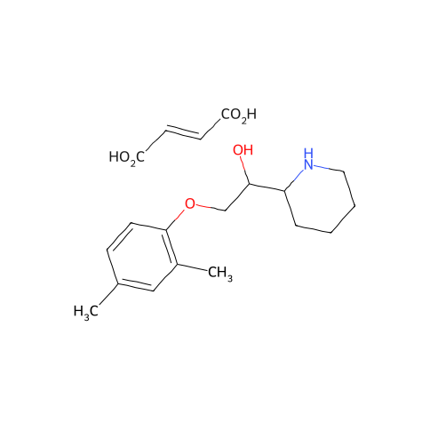 Cc1ccc(OCC(O)C2CCCCN2)c(C)c1.O=C(O)C=CC(=O)O